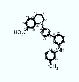 Cc1ccnc(Nc2cccc(-c3cnc(N4CCCc5ccc(C(=O)O)cc54)s3)n2)c1